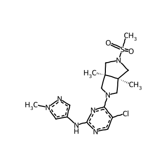 Cn1cc(Nc2ncc(Cl)c(N3C[C@@]4(C)CN(S(C)(=O)=O)C[C@@]4(C)C3)n2)cn1